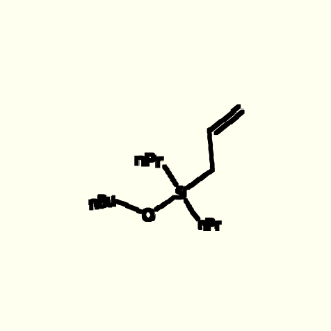 C=CC[Si](CCC)(CCC)OCCCC